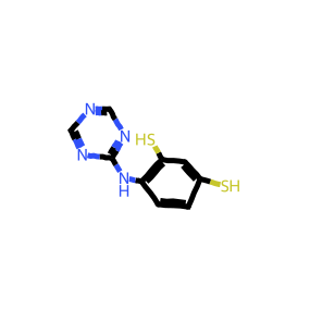 Sc1ccc(Nc2ncncn2)c(S)c1